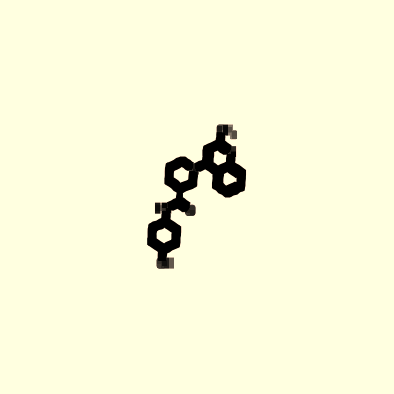 Cc1cc(N2CCC[C@H](C(=O)NC3CCC(O)CC3)C2)c2ccccc2n1